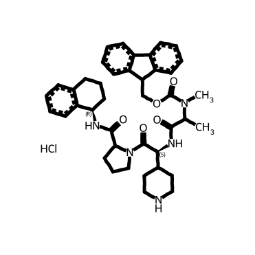 CC(C(=O)N[C@H](C(=O)N1CCCC1C(=O)N[C@@H]1CCCc2ccccc21)C1CCNCC1)N(C)C(=O)OCC1c2ccccc2-c2ccccc21.Cl